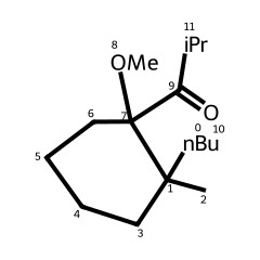 CCCCC1(C)CCCCC1(OC)C(=O)C(C)C